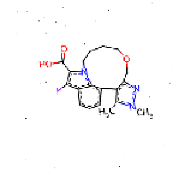 Cc1c2c(nn1C)COCCCCn1c(C(=O)O)c(I)c3cccc-2c31